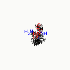 [2H]C([2H])([2H])C([2H])(C([2H])([2H])[2H])C([2H])([2H])N(C[C@@H](O)[C@H](Cc1ccccc1)NC(=O)O[C@H]1CO[C@H]2OCC[C@H]21)S(=O)(=O)c1ccc(N)cc1